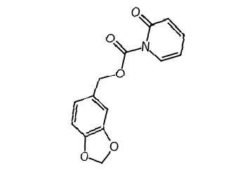 O=C(OCc1ccc2c(c1)OCO2)n1ccccc1=O